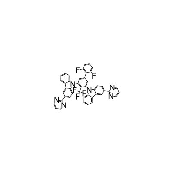 Fc1cccc(F)c1-c1cc(-n2c3ccccc3c3cc(-c4ncccn4)ccc32)c(C(F)(F)F)c(-n2c3ccccc3c3cc(-c4ncccn4)ccc32)c1